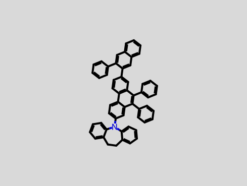 c1ccc(-c2cc3ccccc3cc2-c2ccc3c(c2)c(-c2ccccc2)c(-c2ccccc2)c2cc(N4c5ccccc5CCc5ccccc54)ccc23)cc1